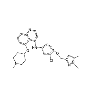 Cc1cc(COc2ccc(Nc3ncnc4cccc(OC5CCN(C)CC5)c34)cc2Cl)nn1C